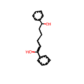 OC(=CCCCC(O)c1ccccc1)c1ccccc1